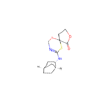 O=C1OCCC12OCN=C(N[C@H]1C[C@@H]3CC[C@H]1C3)S2